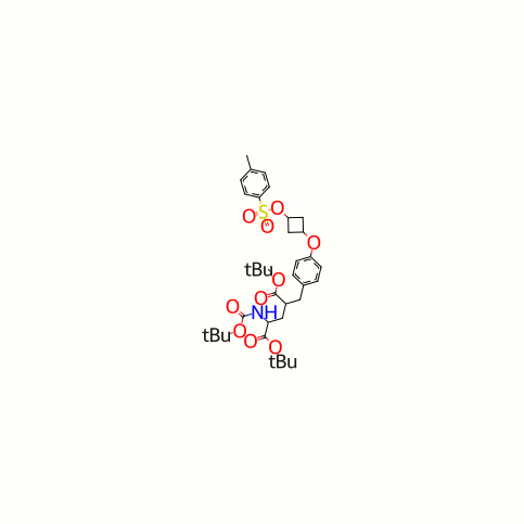 Cc1ccc(S(=O)(=O)OC2CC(Oc3ccc(CC(CC(NC(=O)OC(C)(C)C)C(=O)OC(C)(C)C)C(=O)OC(C)(C)C)cc3)C2)cc1